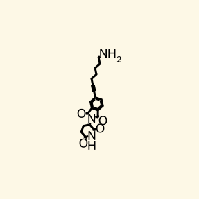 NCCCCCC#Cc1ccc2c(c1)C(=O)N(C1CCC(=O)NC1=O)C2=O